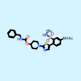 CC(=O)Nc1ccc(-c2cnc(N3CCC(OC(=O)NCc4ccccc4)CC3)s2)c(S(=O)(=O)NC(C)(C)C)c1